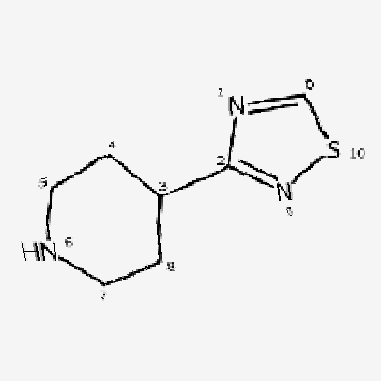 c1nc(C2CCNCC2)ns1